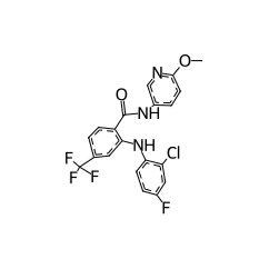 COc1ccc(NC(=O)c2ccc(C(F)(F)F)cc2Nc2ccc(F)cc2Cl)cn1